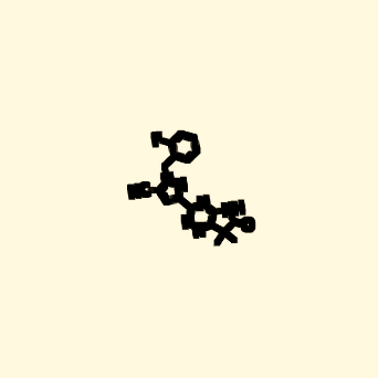 CC1(C)C(=O)Nc2nc(-c3cc(C#N)n(Cc4ccccc4F)n3)nnc21